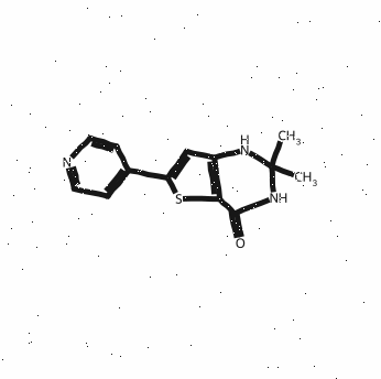 CC1(C)NC(=O)c2sc(-c3ccncc3)cc2N1